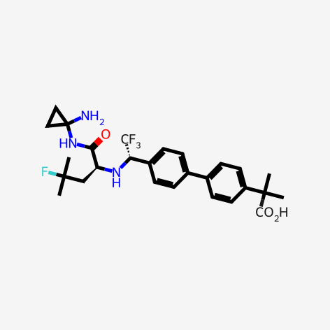 CC(C)(F)C[C@H](N[C@@H](c1ccc(-c2ccc(C(C)(C)C(=O)O)cc2)cc1)C(F)(F)F)C(=O)NC1(N)CC1